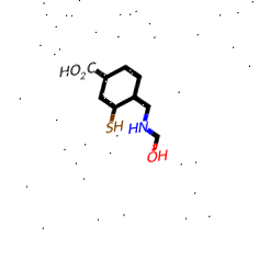 O=C(O)C1CCC(CNCO)C(S)C1